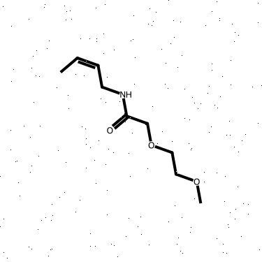 C/C=C\CNC(=O)COCCOC